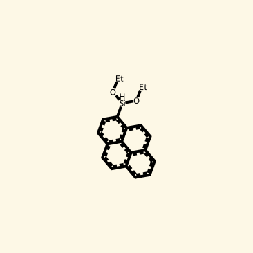 CCO[SiH](OCC)c1ccc2ccc3cccc4ccc1c2c34